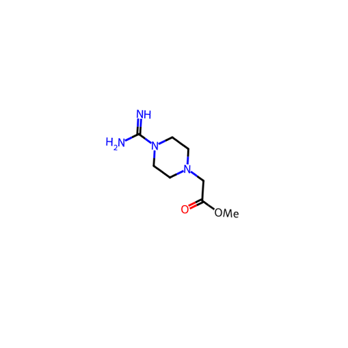 COC(=O)CN1CCN(C(=N)N)CC1